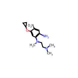 CN(C)CCN(C)c1cc(OC2CC2)c([N+](=O)[O-])cc1N